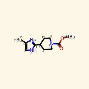 CCCCc1c[nH]c(C2CCN(C(=O)OC(C)(C)C)CC2)n1